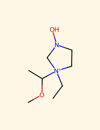 CC[N+]1(C(C)OC)CCN(O)C1